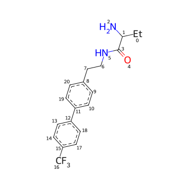 CCC(N)C(=O)NCCc1ccc(-c2ccc(C(F)(F)F)cc2)cc1